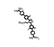 COCCn1c(-c2cc(F)c(C3=CCC(C(=N)N)CC3)c(F)c2)nnc1-c1ccc(C2=CCC(C(=N)N)CC2)cc1F